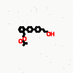 C=C(C)C(=O)OCCc1ccccc1C1CCC(C2CCC(CCCO)CC2)CC1